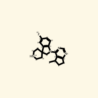 CC1CCc2ncnc(N3CC4(CCNCC4)c4cc(F)ccc43)c21